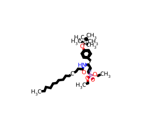 CCCCCCCCCCCCCC(=O)N[C@@H](/C=C/P(=O)(OCC)OCC)Cc1ccc(O[Si](C)(C)C(C)(C)C)cc1